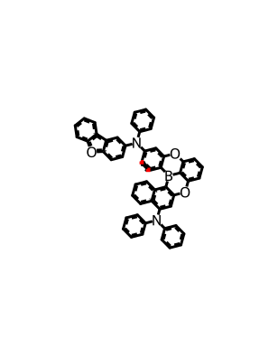 c1ccc(N(c2ccccc2)c2cc3c(c4ccccc24)B2c4c(cccc4Oc4cc(N(c5ccccc5)c5ccc6oc7ccccc7c6c5)c5ccccc5c42)O3)cc1